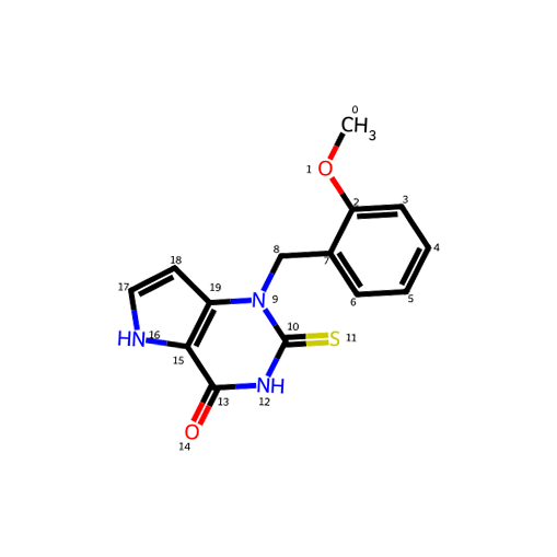 COc1ccccc1Cn1c(=S)[nH]c(=O)c2[nH]ccc21